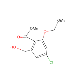 COCOc1cc(Cl)cc(CO)c1C(=O)OC